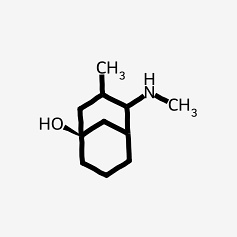 CNC1C(C)C[C@@]2(O)CCCC1C2